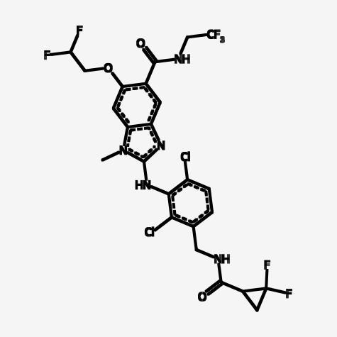 Cn1c(Nc2c(Cl)ccc(CNC(=O)C3CC3(F)F)c2Cl)nc2cc(C(=O)NCC(F)(F)F)c(OCC(F)F)cc21